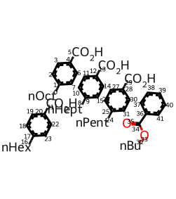 CCCCCCCCc1ccc(C(=O)O)cc1.CCCCCCCc1ccc(C(=O)O)cc1.CCCCCCc1ccc(C(=O)O)cc1.CCCCCc1ccc(C(=O)O)cc1.CCCCOC(=O)c1ccccc1